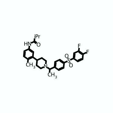 Cc1ccc(NC(=O)C(C)C)cc1C1CCN(C(C)c2ccc(S(=O)(=O)c3ccc(F)c(F)c3)cc2)CC1